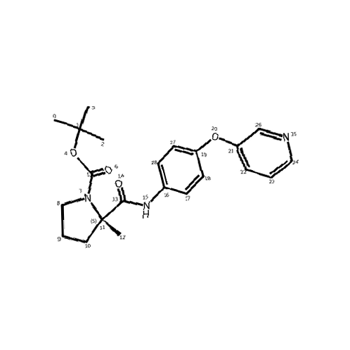 CC(C)(C)OC(=O)N1CCC[C@@]1(C)C(=O)Nc1ccc(Oc2cccnc2)cc1